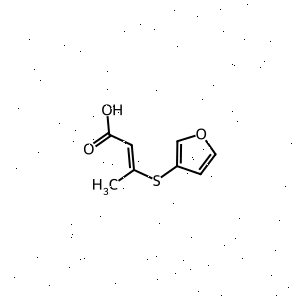 CC(=CC(=O)O)Sc1ccoc1